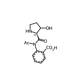 CC(=O)N(C(=O)[C@H]1NCCC1O)c1ccccc1C(=O)O